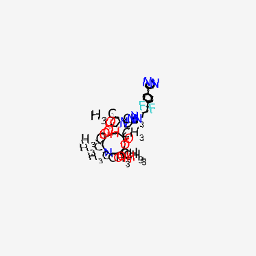 CC[C@H]1OC(=O)[C@H](C)CC[C@@H](O[C@H]2C[C@@H](N(C)CCc3cn(CCCC(F)(F)c4ccc(-c5cncnc5)cc4)nn3)C[C@@H](C)O2)[C@](C)(O)C[C@@H](C)CN(C)[C@H](C)[C@@H](O)[C@]1(C)O